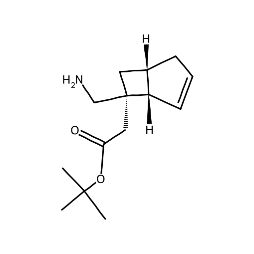 CC(C)(C)OC(=O)C[C@]1(CN)C[C@@H]2CC=C[C@@H]21